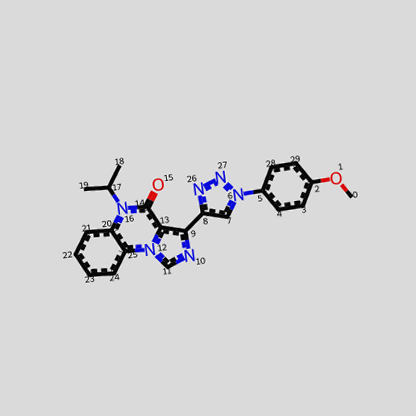 COc1ccc(-n2cc(-c3ncn4c3c(=O)n(C(C)C)c3ccccc34)nn2)cc1